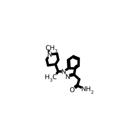 CC(C1CCN(C)CC1)n1nc(CC(N)=O)c2ccccc21